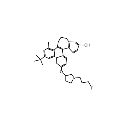 Cc1cc(C(C)(C)C)ccc1C1=C(C2=CC=C(OC3CCN(CCCF)C3)CC2)c2ccc(O)cc2CCC1